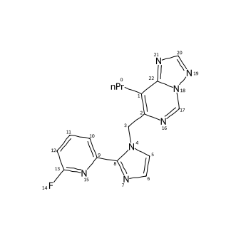 CCCc1c(Cn2ccnc2-c2cccc(F)n2)ncn2ncnc12